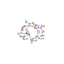 CCN(CC)[Si]1(C(C)(C)C)O[Si](N(CC)CC)(C(C)(C)C)O[Si](N(CC)CC)(C(C)(C)C)O[Si](N(CC)CC)(C(C)(C)C)O[Si](N(CC)CC)(C(C)(C)C)O1